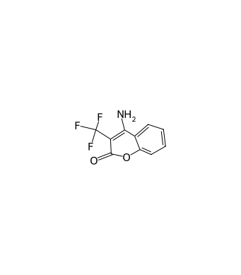 Nc1c(C(F)(F)F)c(=O)oc2ccccc12